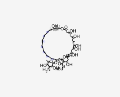 CCCCOC(=O)[C@H]1[C@@H]2C[C@@H](O[C@@H]3O[C@H](C)[C@@H](O)[C@H](N)[C@H]3O)/C=C/C=C/C=C/C=C/C=C/C=C/C=C/[C@H](C)[C@@H](O)[C@@H](C)[C@H](C)OC(=O)C[C@H](O)C[C@H](O)CC[C@@H](O)[C@H](O)C[C@H](O)C[C@](O)(C[C@@H]1O)O2